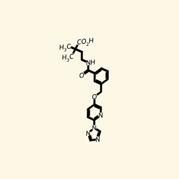 CC(C)(CCNC(=O)c1cccc(COc2ccc(-n3cncn3)nc2)c1)C(=O)O